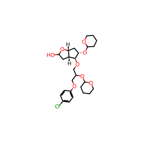 OC1C[C@H]2[C@H](OCC(COc3ccc(Cl)cc3)OC3CCCCO3)[C@@H](OC3CCCCO3)C[C@H]2O1